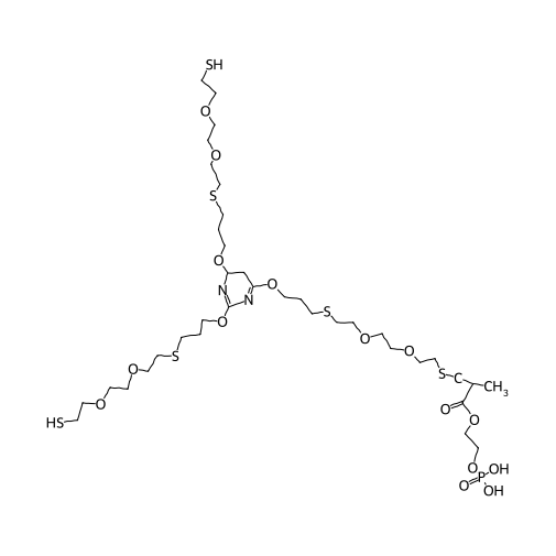 CC(CSCCOCCOCCSCCCOC1=NC(OCCCSCCOCCOCCS)=NC(OCCCSCCOCCOCCS)C1)C(=O)OCCOP(=O)(O)O